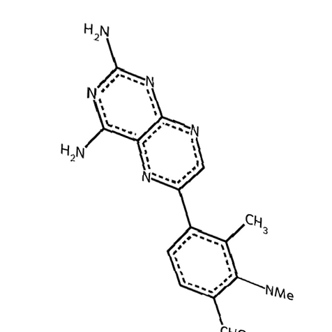 CNc1c([C]=O)ccc(-c2cnc3nc(N)nc(N)c3n2)c1C